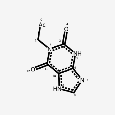 CC(=O)Cn1c(=O)[nH]c2nc[nH]c2c1=O